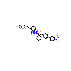 O=C(O)/C=C/c1cccc(NC(=O)C2(Cc3ccc(-c4ccc5ncoc5c4)cc3)CCCCC2)c1